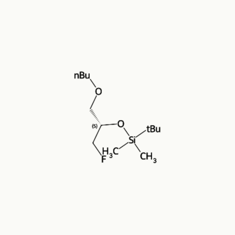 CCCCOC[C@@H](CF)O[Si](C)(C)C(C)(C)C